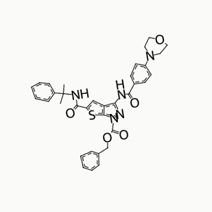 CC(C)(NC(=O)c1cc2c(NC(=O)c3ccc(N4CCOCC4)cc3)nn(C(=O)OCc3ccccc3)c2s1)c1ccccc1